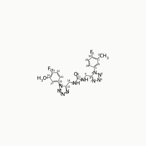 Cc1cc(-n2nnnc2CNC(=O)NCc2nnnn2-c2ccc(F)c(C)c2)ccc1F